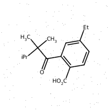 CCc1ccc(C(=O)O)c(C(=O)C(C)(C)C(C)C)c1